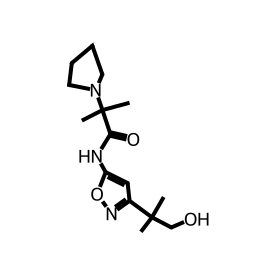 CC(C)(CO)c1cc(NC(=O)C(C)(C)N2CCCC2)on1